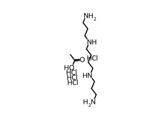 CC(=O)O.Cl.Cl.Cl.Cl.NCCCNCCCCNCCCN